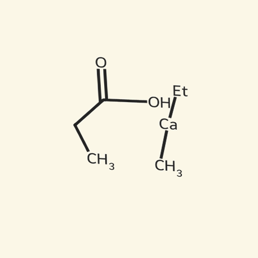 CCC(=O)O.C[CH2][Ca][CH3]